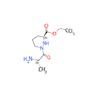 C[C@H](N)C(=O)N1CCC[C@@H](C(=O)OCC(Cl)(Cl)Cl)N1